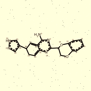 Nc1nc(C2COc3ccccc3O2)nc2c1=CC(c1cn[nH]c1)CC=2